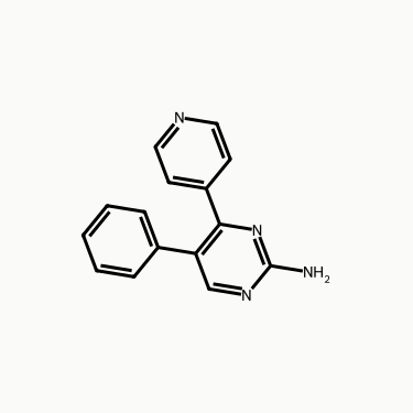 Nc1ncc(-c2ccccc2)c(-c2ccncc2)n1